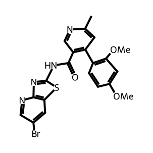 COc1ccc(-c2cc(C)ncc2C(=O)Nc2nc3ncc(Br)cc3s2)c(OC)c1